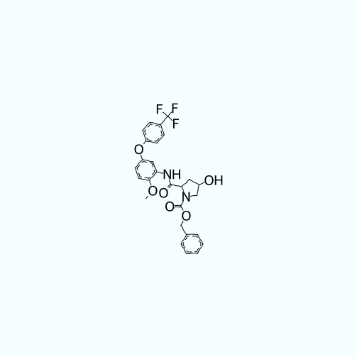 COc1ccc(Oc2ccc(C(F)(F)F)cc2)cc1NC(=O)C1CC(O)CN1C(=O)OCc1ccccc1